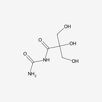 NC(=O)NC(=O)C(O)(CO)CO